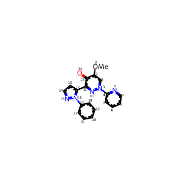 COc1cn(-c2ccccn2)nc(-c2ccnn2-c2ccccc2)c1=O